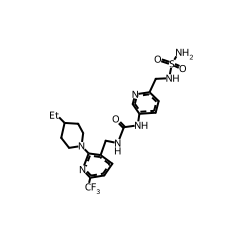 CCC1CCN(c2nc(C(F)(F)F)ccc2CNC(=O)Nc2ccc(CNS(N)(=O)=O)nc2)CC1